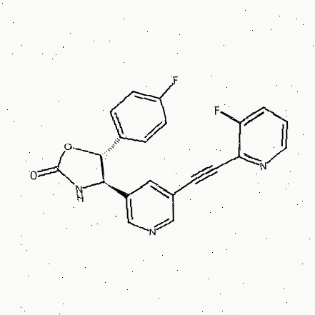 O=C1N[C@H](c2cncc(C#Cc3ncccc3F)c2)[C@@H](c2ccc(F)cc2)O1